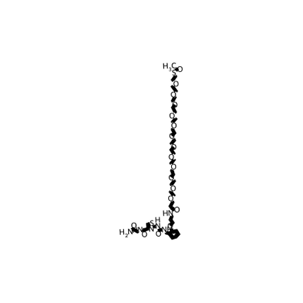 CC(=O)SCCOCCOCCOCCOCCOCCOCCOCCOCCOCCOCCOCCOCCC(=O)NCCCOc1ccccc1CNC(=O)Nc1nc(C(=O)NCC(N)=O)cs1